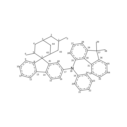 CC1CC2CC(C)C3(c4ccccc4-c4ccc(N(c5ccccc5)c5cccc6c5-c5ccccc5C6(C)C)cc43)C(C1)C2